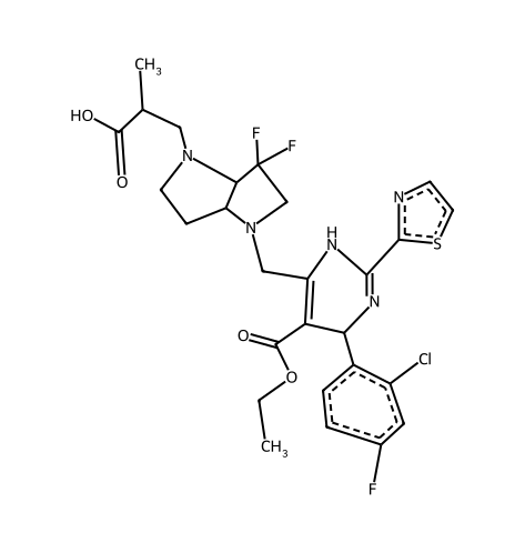 CCOC(=O)C1=C(CN2CC(F)(F)C3C2CCN3CC(C)C(=O)O)NC(c2nccs2)=NC1c1ccc(F)cc1Cl